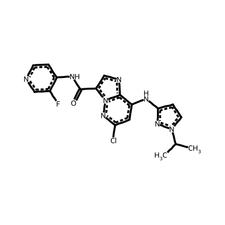 CC(C)n1ccc(Nc2cc(Cl)nn3c(C(=O)Nc4ccncc4F)cnc23)n1